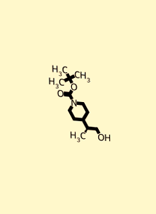 C[C@H](CO)C1CCN(C(=O)OC(C)(C)C)CC1